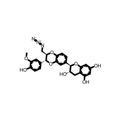 COc1cc([C@H]2Oc3cc([C@H]4Oc5cc(O)cc(O)c5C[C@@H]4O)ccc3O[C@@H]2CN=[N+]=[N-])ccc1O